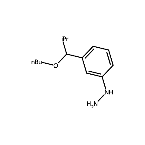 CCCCOC(c1cccc(NN)c1)C(C)C